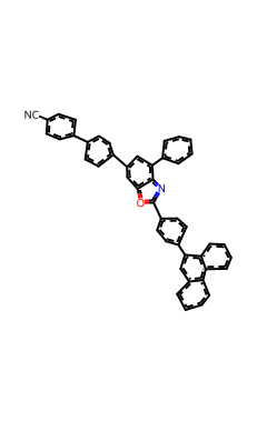 N#Cc1ccc(-c2ccc(-c3cc(-c4ccccc4)c4nc(-c5ccc(-c6cc7ccccc7c7ccccc67)cc5)oc4c3)cc2)cc1